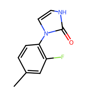 Cc1ccc(-n2cc[nH]c2=O)c(F)c1